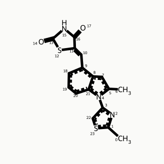 Cc1nc(-n2c(C)cc3c(C=C4SC(=O)NC4=O)cccc32)cs1